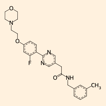 Cc1cccc(CNC(=O)Cc2cnc(-c3ccc(OCCN4CCOCC4)cc3F)nc2)c1